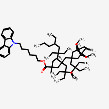 CCCC(CC)CC(CC)(CC)CC(CC(CC)(CC)CC)(CC(CC(CC)(CC)CC)(CC(CC)(CC)CC)CC(CC)(CC)CC)CC(C)(CC)C(=O)OCCCCCCn1c2ccccc2c2ccccc21